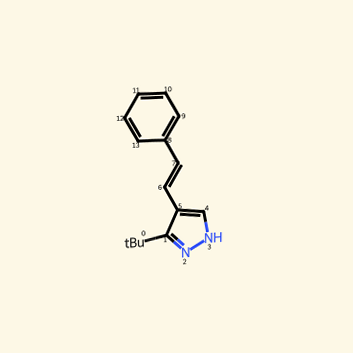 CC(C)(C)c1n[nH]cc1/C=C/c1ccccc1